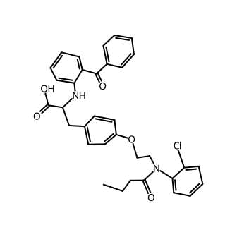 CCCC(=O)N(CCOc1ccc(CC(Nc2ccccc2C(=O)c2ccccc2)C(=O)O)cc1)c1ccccc1Cl